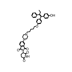 CCC(=C(c1ccc(O)cc1)c1ccc(OCCCCCN2CCN(c3ccc4c(c3)C(=O)N(C3CCC(=O)NC3=O)C4=O)CC2)cc1)c1ccccc1